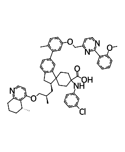 COc1ccccc1-c1nccc(COc2ccc(C)c(-c3ccc4c(c3)C3(CCC(Nc5cccc(Cl)c5)(C(=O)O)CC3)[C@@H](C[C@@H](C)COc3ccnc5c3[C@H](C)CCC5)C4)c2)n1